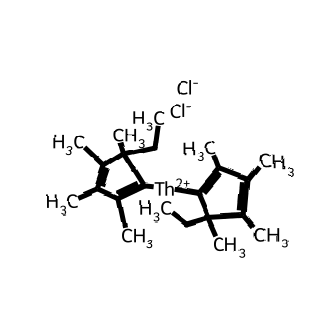 CCC1(C)C(C)=C(C)C(C)=[C]1[Th+2][C]1=C(C)C(C)=C(C)C1(C)CC.[Cl-].[Cl-]